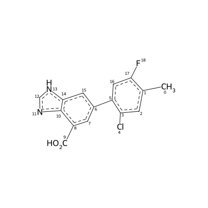 Cc1cc(Cl)c(-c2cc(C(=O)O)c3nc[nH]c3c2)cc1F